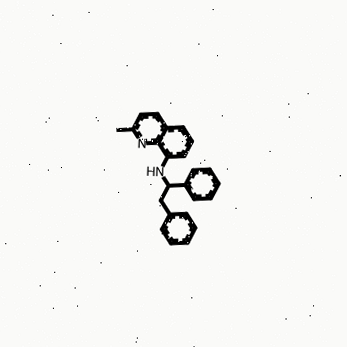 Cc1ccc2cccc(NC(Cc3ccccc3)c3ccccc3)c2n1